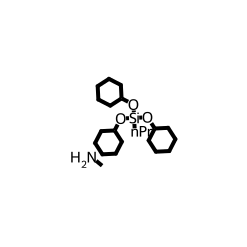 CCC[Si](OC1CCCCC1)(OC1CCCCC1)OC1CCCCC1.CN